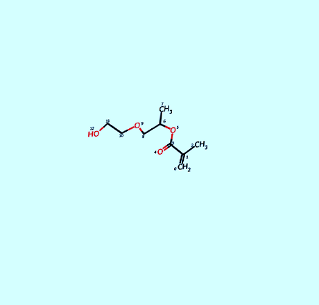 C=C(C)C(=O)OC(C)COCCO